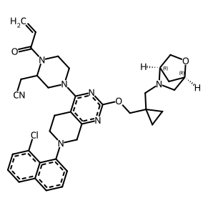 C=CC(=O)N1CCN(c2nc(OCC3(CN4C[C@H]5C[C@@H]4CO5)CC3)nc3c2CCN(c2cccc4cccc(Cl)c24)C3)CC1CC#N